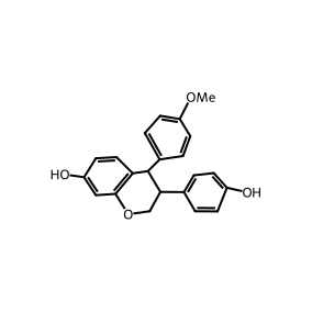 COc1ccc(C2c3ccc(O)cc3OCC2c2ccc(O)cc2)cc1